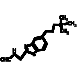 C[N+](C)(C)CCCc1ccc2sc(CNC=O)nc2c1